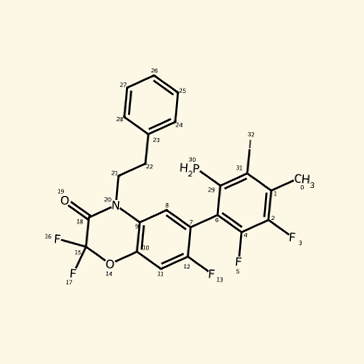 Cc1c(F)c(F)c(-c2cc3c(cc2F)OC(F)(F)C(=O)N3CCc2ccccc2)c(P)c1I